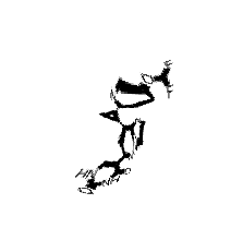 O=c1[nH]cc(-c2cc([C@H]3C[C@@H]3c3ccc(OC(F)F)cn3)c3nccn3n2)c(=O)[nH]1